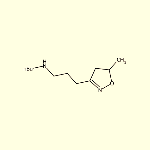 CCCCNCCCC1=NOC(C)C1